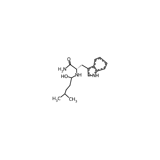 CC(C)CCC(O)N[C@@H](Cc1c[nH]c2ccccc12)C(N)=O